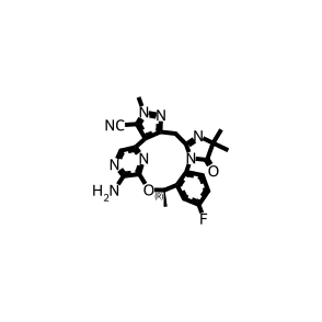 C[C@H]1Oc2nc(cnc2N)-c2c(nn(C)c2C#N)CC2=NC(C)(C)C(=O)N2c2ccc(F)cc21